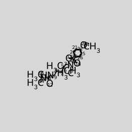 CCN(CC(C)(C)CCCNC(=O)N(C)C)S(=O)(=O)c1ccc(OC)cc1